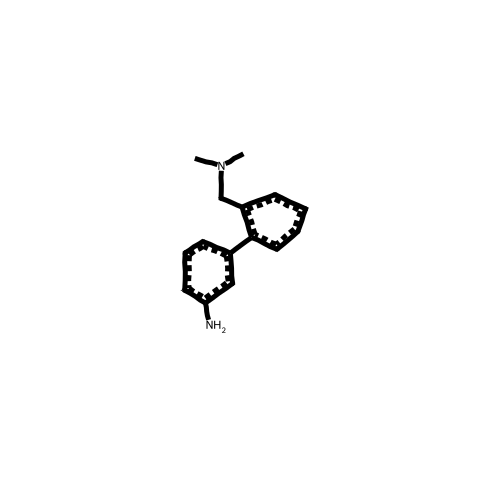 CN(C)Cc1ccccc1-c1cc[c]c(N)c1